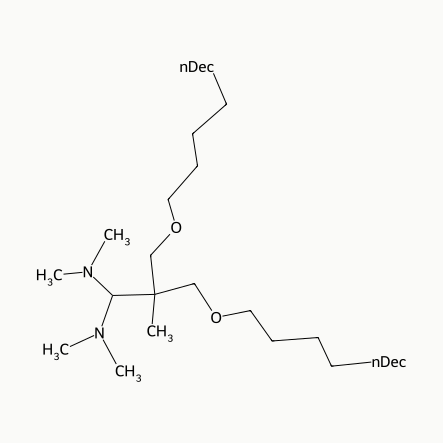 CCCCCCCCCCCCCCOCC(C)(COCCCCCCCCCCCCCC)C(N(C)C)N(C)C